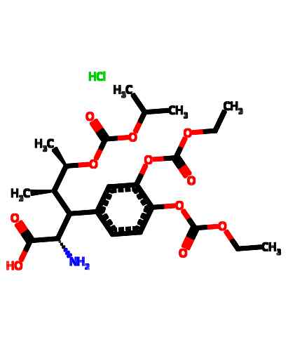 CCOC(=O)Oc1ccc(C([C@H](N)C(=O)O)[C@@H](C)[C@@H](C)OC(=O)OC(C)C)cc1OC(=O)OCC.Cl